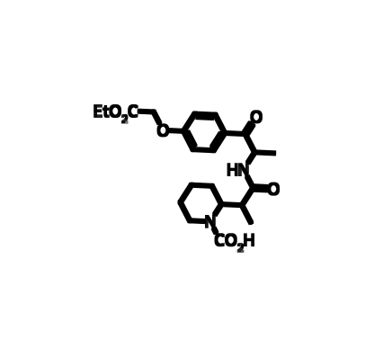 CCOC(=O)COc1ccc(C(=O)C(C)NC(=O)C(C)C2CCCCN2C(=O)O)cc1